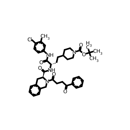 Cc1cc(NC(=O)[C@H](CCC2CCN(C(=O)OC(C)(C)C)CC2)NC(=O)[C@@H]2Cc3ccccc3CN2C(=O)CCC(=O)c2ccccc2)ccc1Cl